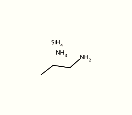 CCCN.N.[SiH4]